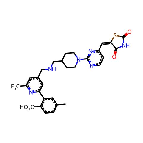 Cc1ccc(C(=O)O)c(-c2cc(CNCC3CCN(c4nccc(C=C5SC(=O)NC5=O)n4)CC3)cc(C(F)(F)F)n2)c1